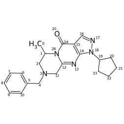 CC1CN(Cc2ccccc2)Cc2nc3c(cnn3C3CCCC3)c(=O)n21